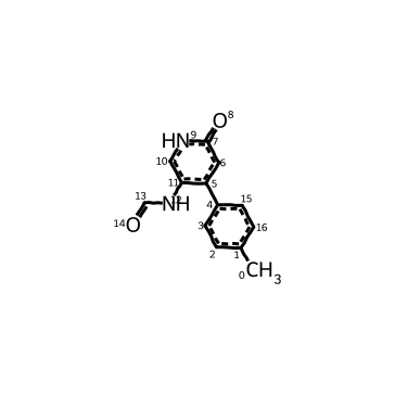 Cc1ccc(-c2cc(=O)[nH]cc2NC=O)cc1